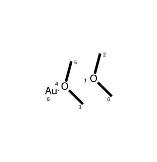 COC.COC.[Au]